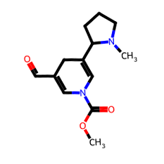 COC(=O)N1C=C(C=O)CC(C2CCCN2C)=C1